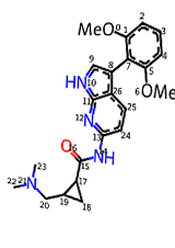 COc1cccc(OC)c1-c1c[nH]c2nc(NC(=O)C3CC3CN(C)C)ccc12